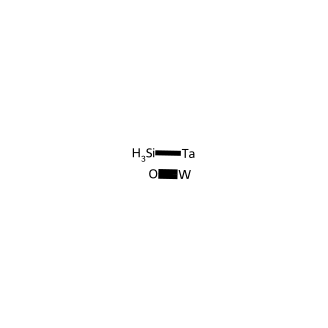 [O]=[W].[SiH3][Ta]